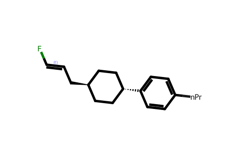 CCCc1ccc([C@H]2CC[C@H](C/C=C/F)CC2)cc1